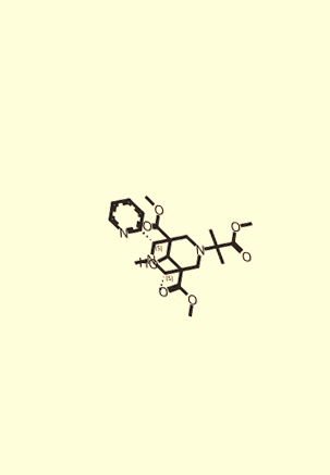 COC(=O)C12CN(C(C)(C)C(=O)OC)CC(C(=O)OC)(C1O)[C@@H](c1ccccn1)N(C)[C@H]2C